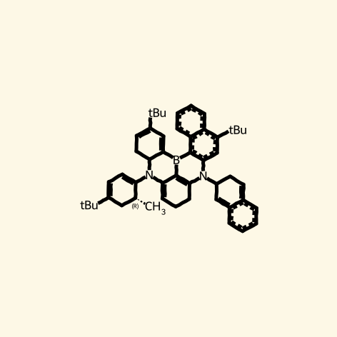 C[C@@H]1CC(C(C)(C)C)=CC=C1N1C2=CCCC3=C2B(C2=CC(C(C)(C)C)=CCC21)c1c(cc(C(C)(C)C)c2ccccc12)N3C1C=c2ccccc2=CC1